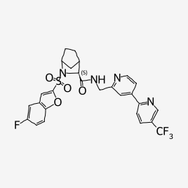 O=C(NCc1cc(-c2ccc(C(F)(F)F)cn2)ccn1)[C@@H]1C2CCC(C2)N1S(=O)(=O)c1cc2cc(F)ccc2o1